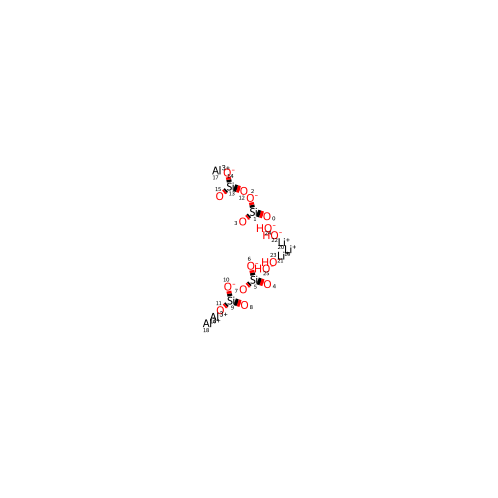 O=[Si]([O-])[O-].O=[Si]([O-])[O-].O=[Si]([O-])[O-].O=[Si]([O-])[O-].[Al+3].[Al+3].[Al+3].[Li+].[Li+].[Li+].[OH-].[OH-].[OH-].[OH-]